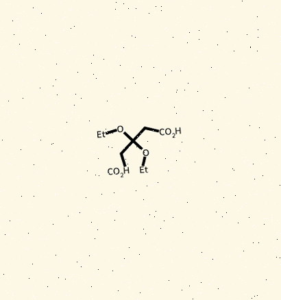 CCOC(CC(=O)O)(CC(=O)O)OCC